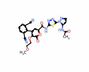 COCCOc1c(-c2c(C#N)cccc2C#N)cc(C(=O)Nc2nnc(-n3nccc3NC(C)=O)s2)oc1=O